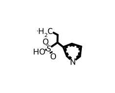 [CH2]CC(c1cccnc1)S(=O)(=O)O